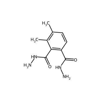 Cc1ccc(C(=O)NN)c(C(=O)NN)c1C